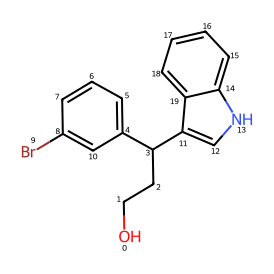 OCCC(c1cccc(Br)c1)c1c[nH]c2ccccc12